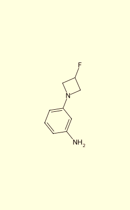 Nc1cccc(N2CC(F)C2)c1